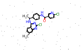 Cc1ccc2c(NC(C)c3ccc(NC(=O)c4ccc(Cl)nc4)cc3)nc(Cl)nc2c1